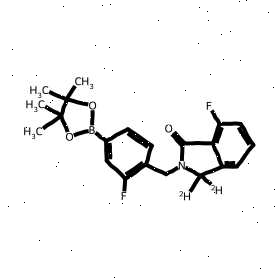 [2H]C1([2H])c2cccc(F)c2C(=O)N1Cc1ccc(B2OC(C)(C)C(C)(C)O2)cc1F